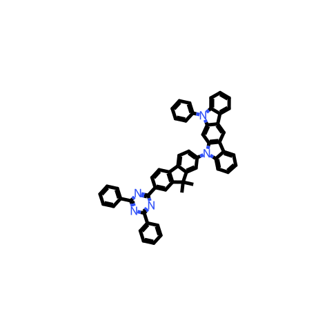 CC1(C)c2cc(-c3nc(-c4ccccc4)nc(-c4ccccc4)n3)ccc2-c2ccc(-n3c4ccccc4c4cc5c6ccccc6n(-c6ccccc6)c5cc43)cc21